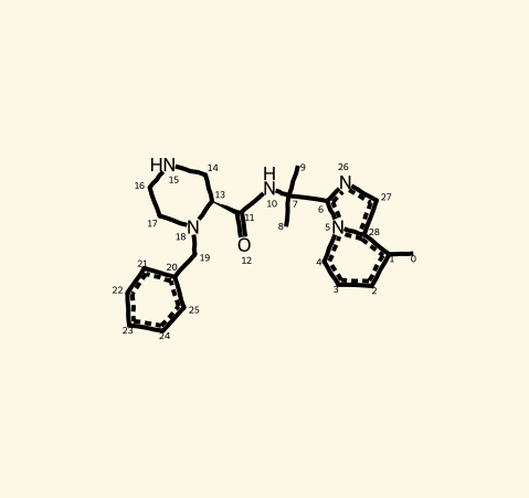 Cc1cccn2c(C(C)(C)NC(=O)[C@@H]3CNCCN3Cc3ccccc3)ncc12